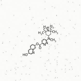 CN(c1ccc(C(=O)Oc2ccc3cc(O)cnc3c2)nn1)C1CC(C)(C)NC(C)(C)C1